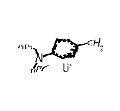 CCCN(CCC)c1ccc(C)cc1.[Li+]